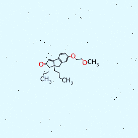 CCCC[C@]12Cc3cc(OCCOC)ccc3C1=CC(=O)[C@H]2CCC